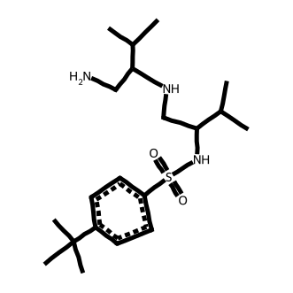 CC(C)C(CN)NCC(NS(=O)(=O)c1ccc(C(C)(C)C)cc1)C(C)C